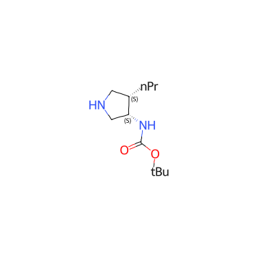 CCC[C@H]1CNC[C@H]1NC(=O)OC(C)(C)C